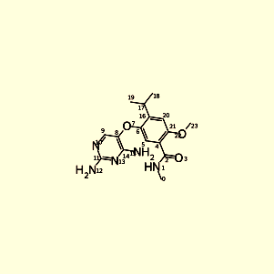 CNC(=O)c1cc(Oc2cnc(N)nc2N)c(C(C)C)cc1OC